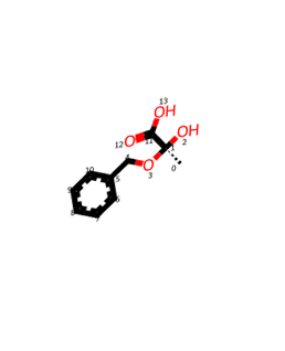 C[C@](O)(OCc1ccccc1)C(=O)O